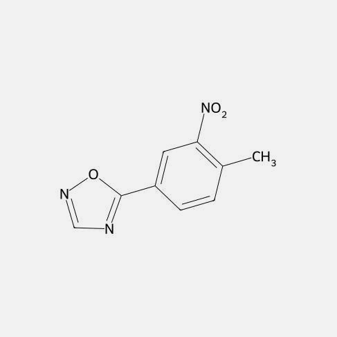 Cc1ccc(-c2ncno2)cc1[N+](=O)[O-]